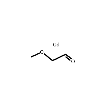 COCC=O.[Gd]